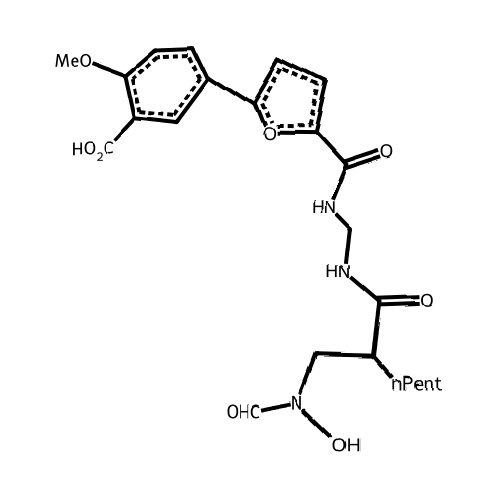 CCCCCC(CN(O)C=O)C(=O)NCNC(=O)c1ccc(-c2ccc(OC)c(C(=O)O)c2)o1